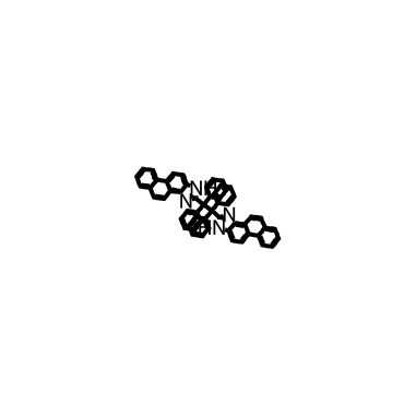 c1ccc(C(c2ccccc2)(c2nc3c(ccc4c5ccccc5ccc43)[nH]2)C(c2ccccc2)(c2ccccc2)c2nc3c(ccc4c5ccccc5ccc43)[nH]2)cc1